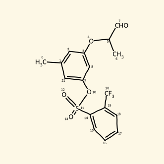 Cc1cc(OC(C)C=O)cc(OS(=O)(=O)c2ccccc2C(F)(F)F)c1